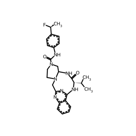 CC(C)[C@@H]1Nc2nc(nc3ccccc23)CN2CCN(C(=O)Nc3ccc([C@H](C)F)cc3)CC2NC1=O